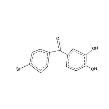 O=C(c1ccc(Br)cc1)c1ccc(O)c(O)c1